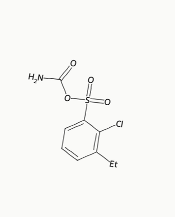 CCc1cccc(S(=O)(=O)OC(N)=O)c1Cl